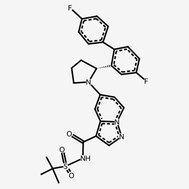 CC(C)(C)S(=O)(=O)NC(=O)c1cnn2ccc(N3CCC[C@@H]3c3cc(F)ccc3-c3ccc(F)cc3)cc12